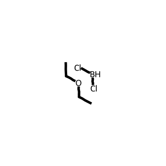 CCOCC.ClBCl